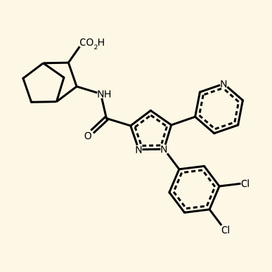 O=C(NC1C2CCC(C2)C1C(=O)O)c1cc(-c2cccnc2)n(-c2ccc(Cl)c(Cl)c2)n1